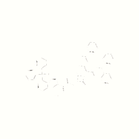 CON=C(C(=O)NC1C(=O)N2C(C(=O)OC(c3ccccc3)c3ccccc3)=C(C=C(S)c3ccccn3)CSC12)c1csc(NC(c2ccccc2)(c2ccccc2)c2ccccc2)n1